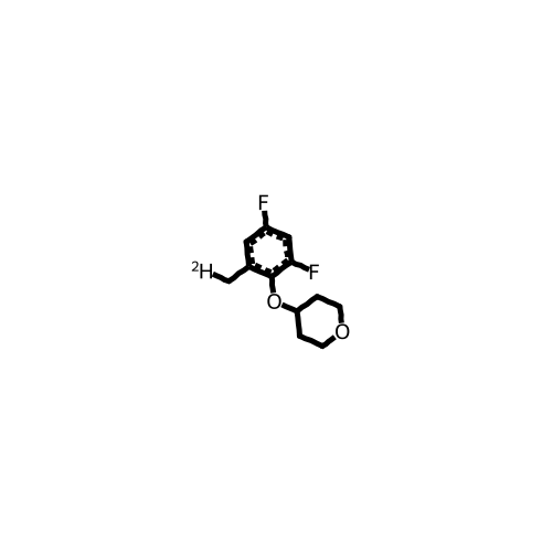 [2H]Cc1cc(F)cc(F)c1OC1CCOCC1